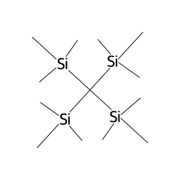 C[Si](C)(C)C([Si](C)(C)C)([Si](C)(C)C)[Si](C)(C)C